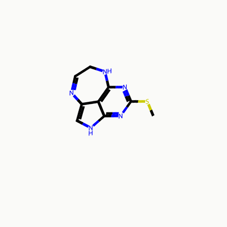 CSc1nc2c3c(c[nH]c3n1)N=CCN2